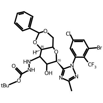 Cc1nc([C@@H]2OC3COC(c4ccccc4)O[C@@H]3C(NNC(=O)OC(C)(C)C)C2O)n(-c2cc(Cl)cc(Br)c2C(F)(F)F)n1